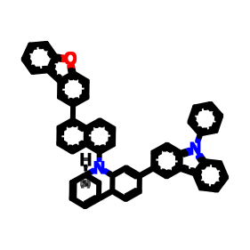 C1=C[C@@H]2CC(=C1)C1C=CC(c3ccc4c(c3)c3ccccc3n4-c3ccccc3)=CC1N2c1cccc2c(-c3ccc4oc5ccccc5c4c3)cccc12